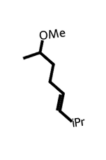 COC(C)CC/C=C/C(C)C